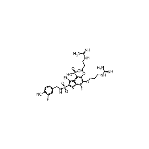 CCc1c(S(=O)(=O)NCc2ccc(C#N)c(F)c2)sc2c(F)c(OCCCNC(=N)N)c(OCCCNC(=N)N)c(P(=O)(O)O)c12